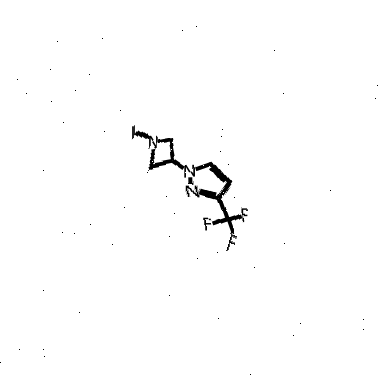 FC(F)(F)c1ccn(C2CN(I)C2)n1